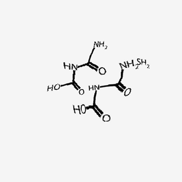 NC(=O)NC(=O)O.NC(=O)NC(=O)O.S